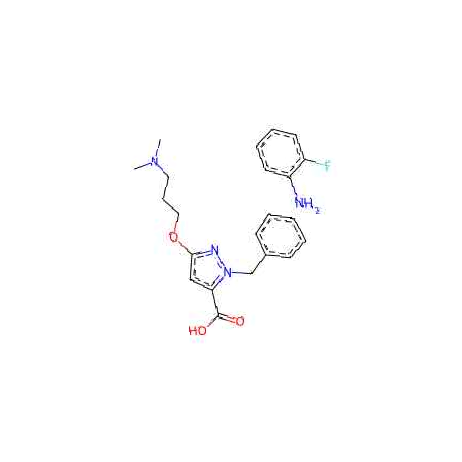 CN(C)CCCOc1cc(C(=O)O)n(Cc2ccccc2)n1.Nc1ccccc1F